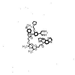 COc1cccc(CN(CCOC(=O)C(C)OC(=O)C(C)OC(=O)CCC(=O)N(C2=NCCN2)c2ccc3nccnc3c2Br)C(=O)Nc2ccc(/C(C=N)=C/N)cc2OCCN2CCCC2)c1